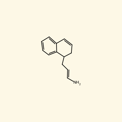 NC=CCC1CC=Cc2ccccc21